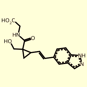 O=C(O)CNC(=O)C1(CO)CC1C=Cc1ccc2[nH]ncc2c1